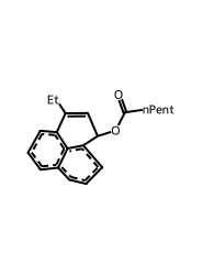 CCCCCC(=O)OC1C=C(CC)c2cccc3cccc1c23